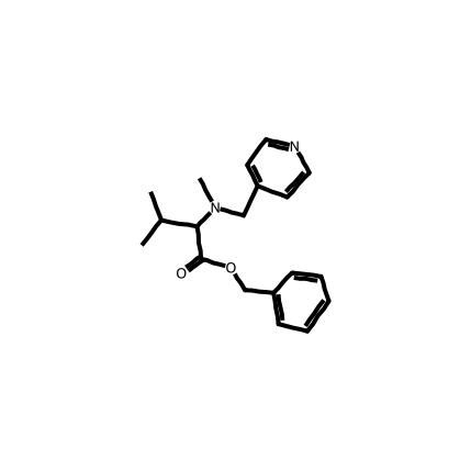 CC(C)C(C(=O)OCc1ccccc1)N(C)Cc1ccncc1